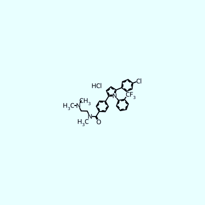 CN(C)CCN(C)C(=O)c1ccc(-c2ccc(-c3ccc(Cl)cc3)n2-c2ccccc2C(F)(F)F)cc1.Cl